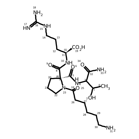 CC(O)C(NC(=O)[C@@]1(C(=O)N[C@@H](CCCNC(=N)N)C(=O)O)CCCN1C(=O)CCCCCN)C(N)=O